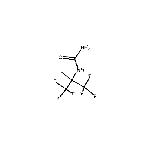 CC(NC(N)=O)(C(F)(F)F)C(F)(F)F